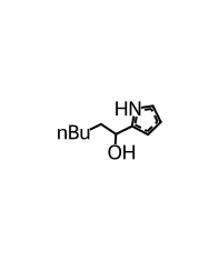 CCCCCC(O)c1ccc[nH]1